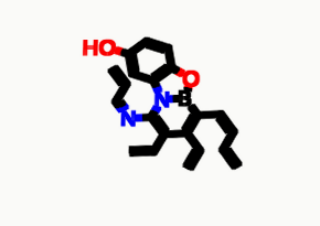 C=C/C=C\C1=C(C=C)C(C=C)=C(/N=C\C=C)N2B1Oc1ccc(O)cc12